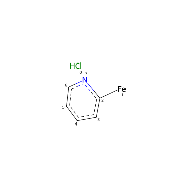 Cl.[Fe][c]1ccccn1